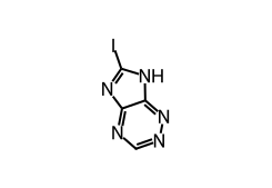 Ic1nc2ncnnc2[nH]1